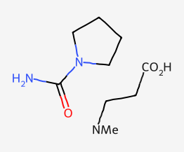 CNCCC(=O)O.NC(=O)N1CCCC1